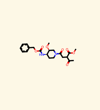 COC(=O)C(CC(=O)N1CC[C@@H](NC(=O)OCc2ccccc2)[C@@H](OC)C1)C(C)=O